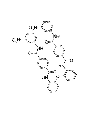 O=C(Nc1cccc([N+](=O)[O-])c1)c1ccc(C(=O)Nc2ccccc2Oc2ccccc2NC(=O)c2ccc(C(=O)Nc3cccc([N+](=O)[O-])c3)cc2)cc1